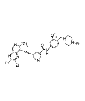 CCc1nc2cnc(N)c(C#Cc3cncc(C(=O)Nc4ccc(CN5CCN(CC)CC5)c(C(F)(F)F)c4)c3)c2nc1CC